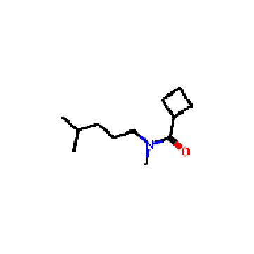 CC(C)CCCN(C)C(=O)C1CCC1